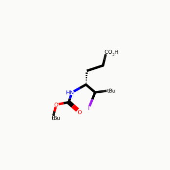 CC(C)(C)OC(=O)N[C@H](CCC(=O)O)C(I)C(C)(C)C